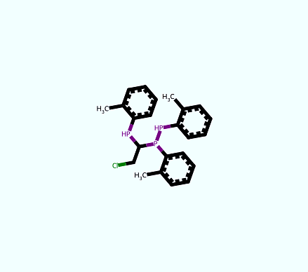 Cc1ccccc1PC(CCl)P(Pc1ccccc1C)c1ccccc1C